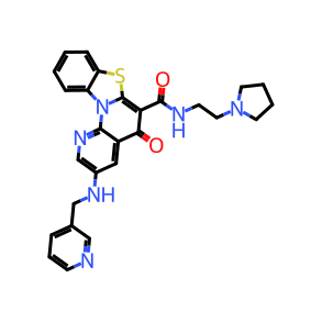 O=C(NCCN1CCCC1)c1c(=O)c2cc(NCc3cccnc3)cnc2n2c1sc1ccccc12